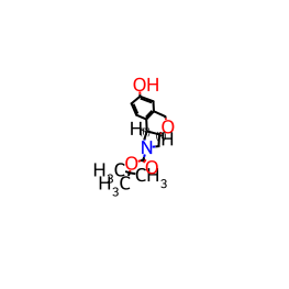 CC(C)(C)OC(=O)N1C[C@@H]2OCc3cc(O)ccc3[C@@H]2C1